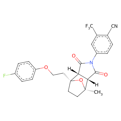 C[C@]12CC[C@](CCOc3ccc(F)cc3)(O1)[C@@H]1C(=O)N(c3ccc(C#N)c(C(F)(F)F)c3)C(=O)[C@@H]12